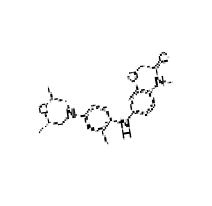 Cc1cc(N2CC(C)OC(C)C2)ccc1Nc1ccc2c(c1)OCC(=O)N2C